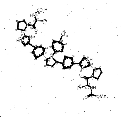 COC(=O)N[C@H](C(=O)N1CCC[C@H]1c1nc(-c2ccc(C3CC[C@H](c4ccc(-c5c[nH]c([C@@H]6CCCN6C(=O)[C@@H](NC(=O)O)C(C)C)n5)cc4)N3c3ccc(C(F)(F)F)cc3)cc2)c[nH]1)C(C)C